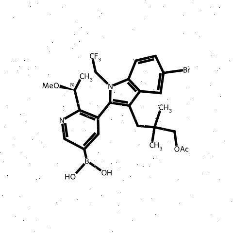 CO[C@@H](C)c1ncc(B(O)O)cc1-c1c(CC(C)(C)COC(C)=O)c2cc(Br)ccc2n1CC(F)(F)F